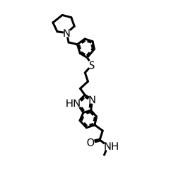 CNC(=O)Cc1ccc2[nH]c(CCCSc3cccc(CN4CCCCC4)c3)nc2c1